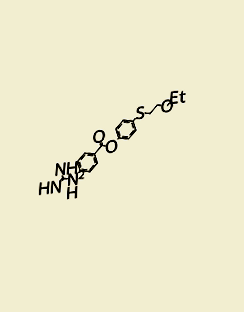 CCOCCSc1ccc(OC(=O)c2ccc(NC(=N)N)cc2)cc1